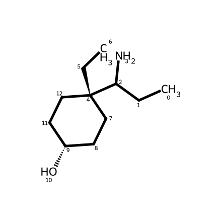 CCC(N)[C@]1(CC)CC[C@H](O)CC1